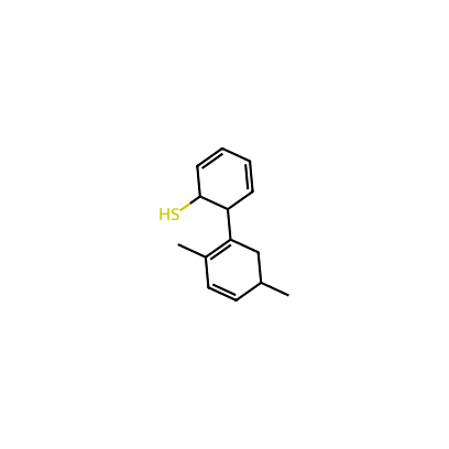 CC1=C(C2C=CC=CC2S)CC(C)C=C1